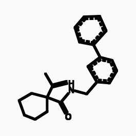 C=C(C)C1(C(=O)NCc2cccc(-c3ccccc3)c2)CCCCC1